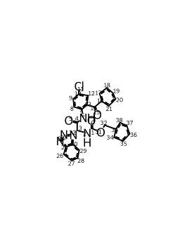 O=C(NC(C(=O)Nc1ccc(Cl)cc1C(=O)c1ccccc1)n1nnc2ccccc21)OCc1ccccc1